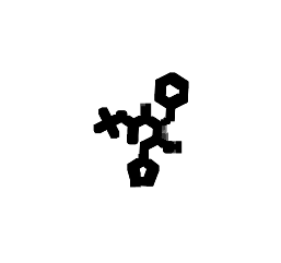 CC(C)(C)OC(=O)N[C@H](Cc1ccccc1)[C@@H](O)Cn1ccnc1